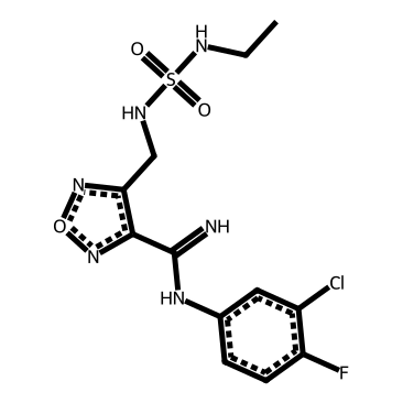 CCNS(=O)(=O)NCc1nonc1C(=N)Nc1ccc(F)c(Cl)c1